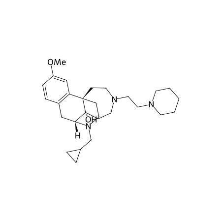 COc1ccc2c(c1)[C@@]13CCN(CCN4CCCCC4)CC[C@@]1(O)[C@@H](C2)N(CC1CC1)CC3